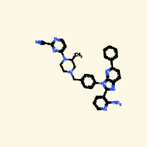 CC1CN(Cc2ccc(-n3c(-c4cccnc4N)nc4ccc(-c5ccccc5)nc43)cc2)CCN1c1ccnc(C#N)n1